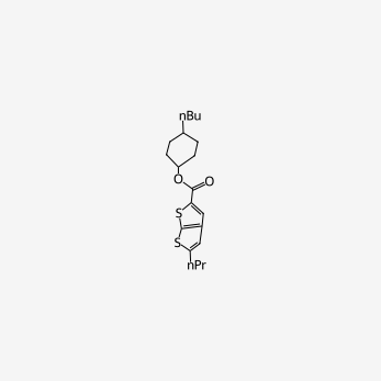 CCCCC1CCC(OC(=O)c2cc3cc(CCC)sc3s2)CC1